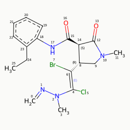 C=NN(C)/C(Cl)=C(\Br)[C@H]1CN(C)C(=O)[C@@H]1C(=O)Nc1ccccc1CC